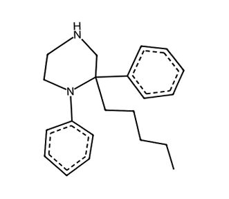 CCCCCC1(c2ccccc2)CNCCN1c1ccccc1